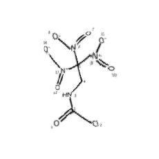 O=C(Cl)NCC([N+](=O)[O-])([N+](=O)[O-])[N+](=O)[O-]